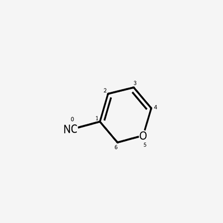 N#CC1=CC=COC1